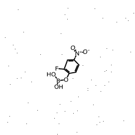 O=[N+]([O-])c1ccc(OB(O)O)c(F)c1